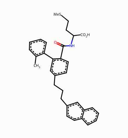 CSCCC(NC(=O)c1ccc(CCCc2ccc3ccccc3c2)cc1-c1ccccc1C)C(=O)O